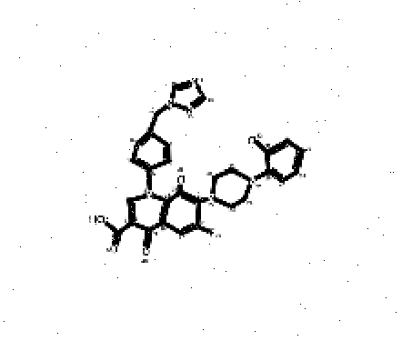 O=C(O)c1cn(-c2ccc(Cn3cncn3)cc2)c2c(Cl)c(N3CCN(c4ccccc4Cl)CC3)c(F)cc2c1=O